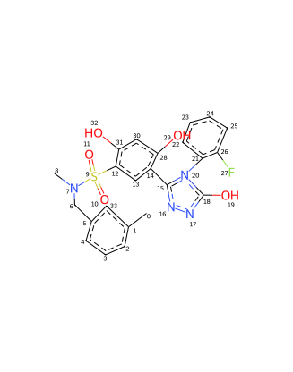 Cc1cccc(CN(C)S(=O)(=O)c2cc(-c3nnc(O)n3-c3ccccc3F)c(O)cc2O)c1